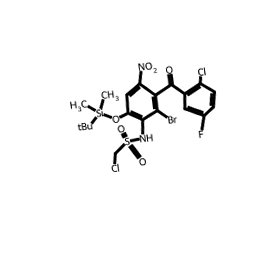 CC(C)(C)[Si](C)(C)Oc1cc([N+](=O)[O-])c(C(=O)c2cc(F)ccc2Cl)c(Br)c1NS(=O)(=O)CCl